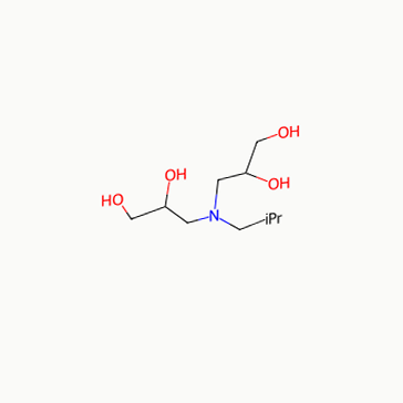 CC(C)CN(CC(O)CO)CC(O)CO